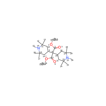 CCCCOC(=O)C(C(=O)OCCCC)(C1CC(C)(C)N(C)C(C)(C)C1)C1CC(C)(C)N(C)C(C)(C)C1